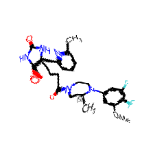 COc1cc(N2CCN(C(=O)CCC3(c4cccc(C)n4)NC(=O)NC3=O)C[C@@H]2C)cc(F)c1F